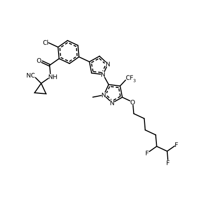 Cn1nc(OCCCCC(F)C(F)F)c(C(F)(F)F)c1-n1cc(-c2ccc(Cl)c(C(=O)NC3(C#N)CC3)c2)cn1